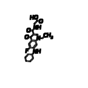 CCn1cc(C(=O)NCC(=O)O)c(=O)c2cc(F)c(NC3CCCCC3)cc21